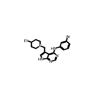 CCC1CCN(Cc2c[nH]c3ncnc(Nc4cccc(Br)c4)c23)CC1